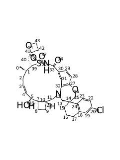 C[C@@H]1C/C=C\[C@H](O)[C@@H]2CC[C@H]2CN2C[C@@]3(CCCc4cc(Cl)ccc43)COc3ccc(cc32)C(=O)NS(=O)(=O)[C@H]1C[C@H]1CCO1